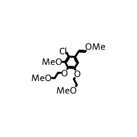 COC=Cc1cc(OCCOC)c(OCCOC)c(OC)c1Cl